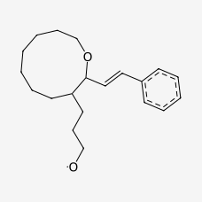 [O]CCCC1CCCCCCCOC1C=Cc1ccccc1